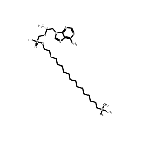 C[C@H](Cn1cnc2c(N)ncnc21)OCP(=O)(O)OCCSCCCCCCCCCCCCCCS(C)(C)C(C)(C)C